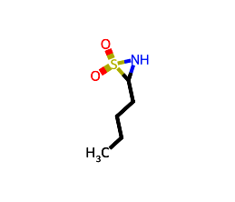 CCCCC1NS1(=O)=O